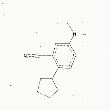 CN(C)c1ccc(C2CCCC2)c(C#N)c1